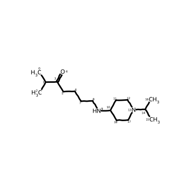 CC(C)C(=O)CCCCNC1CCN(C(C)C)CC1